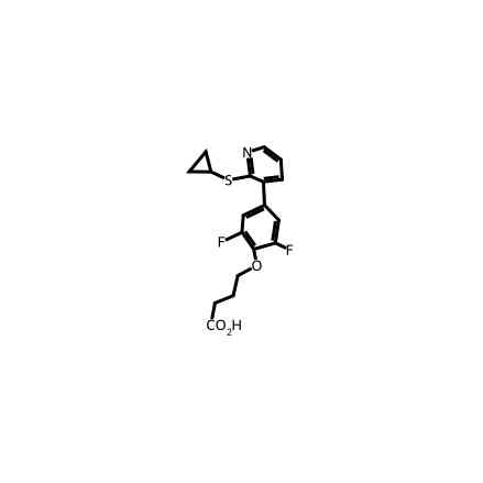 O=C(O)CCCOc1c(F)cc(-c2cccnc2SC2CC2)cc1F